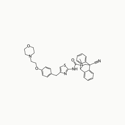 CC1(C(=O)Nc2nc(Cc3ccc(OCCN4CCOCC4)cc3)cs2)CC2(C#N)c3ccccc3C1c1ccccc12